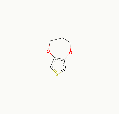 c1scc2c1OCCCO2